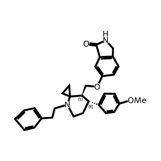 COc1ccc([C@@H]2CCN(CCc3ccccc3)C3(CC3)[C@H]2COc2ccc3c(c2)C(=O)NC3)cc1